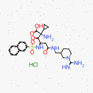 Cl.N=C(N)N1CCCC(CNC(=O)C[C@@H](NS(=O)(=O)c2ccc3ccccc3c2)C(=O)C(N)(C(=O)O)C2CC2)C1